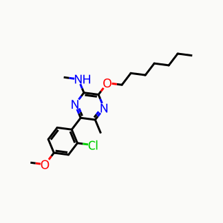 CCCCCCCOc1nc(C)c(-c2ccc(OC)cc2Cl)nc1NC